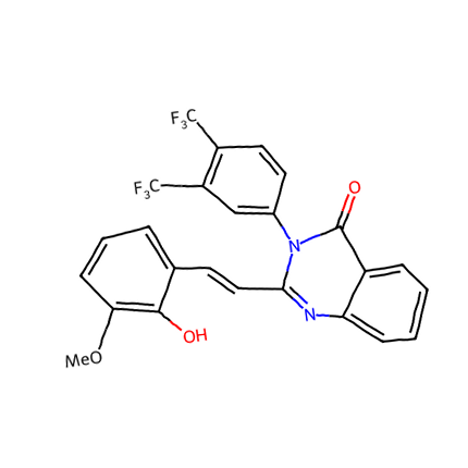 COc1cccc(C=Cc2nc3ccccc3c(=O)n2-c2ccc(C(F)(F)F)c(C(F)(F)F)c2)c1O